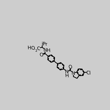 CC(C)C(NC(=O)c1ccc(-c2ccc(NC(=O)N3CCc4cc(Cl)ccc43)cc2)cc1)C(=O)O